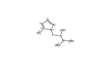 CCCCN(CCCC)C(O)Cn1nnnc1S